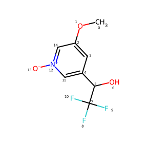 COc1cc(C(O)C(F)(F)F)c[n+]([O-])c1